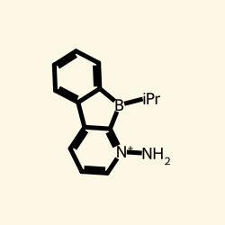 CC(C)B1c2ccccc2-c2ccc[n+](N)c21